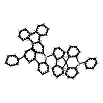 c1ccc(-c2cccc(-c3ccccc3N(c3ccc4c5ccccc5c5ccccc5c4c3)c3cccc4c3-c3ccccc3C43c4ccccc4N(c4ccccc4)c4ccccc43)c2)cc1